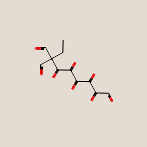 CCC(C=O)(C=O)C(=O)C(=O)C(=O)C(=O)C(=O)C=O